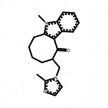 Cc1nccn1CC1CCCCc2c(c3ccccc3n2C)C1=O